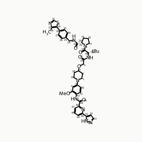 COc1cc(N2CCC(OCC(=O)N[C@H](C(=O)N3CCC[C@H]3C(=O)NCc3ccc(-c4scnc4C)cc3)C(C)(C)C)CC2)ccc1NC(=O)c1cccc(-c2ccn[nH]2)n1